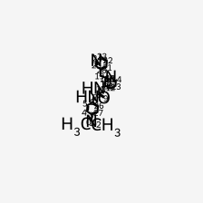 CN(C)c1ccc(NC(=O)NC2C3CCN(CC3)C2Cc2cccnc2)cc1